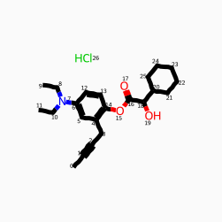 CC#CCc1cc(N(CC)CC)ccc1OC(=O)C(O)C1CCCCC1.Cl